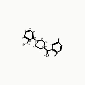 Cc1ccc(C)c(C(=O)N2CCN(c3ccccc3C(C)C)CC2)c1